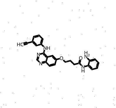 C#Cc1cccc(Nc2ncnc3ccc(OCCCC(=O)Nc4ccccc4N)cc23)c1